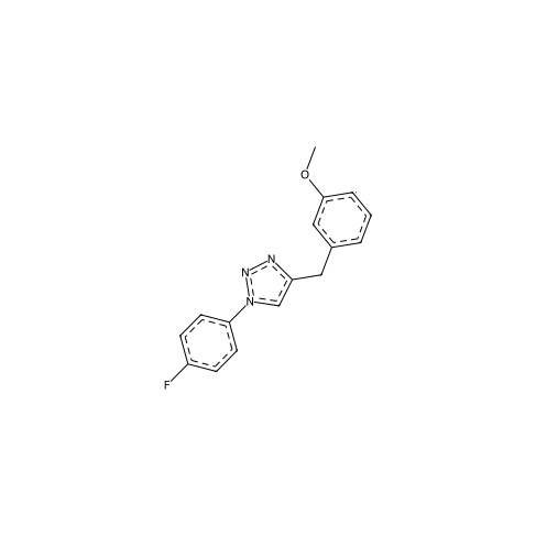 COc1[c]ccc(Cc2cn(-c3ccc(F)cc3)nn2)c1